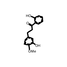 COc1ccc(CCC(=O)c2ccccc2O)cc1O